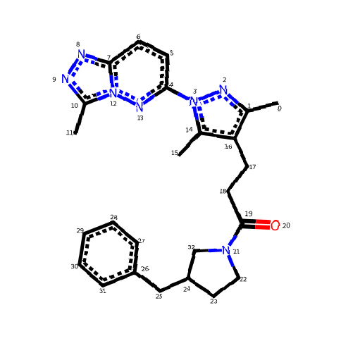 Cc1nn(-c2ccc3nnc(C)n3n2)c(C)c1CCC(=O)N1CCC(Cc2ccccc2)C1